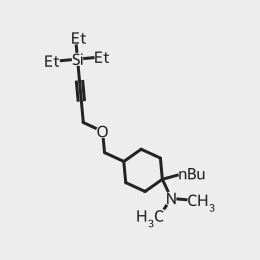 CCCCC1(N(C)C)CCC(COCC#C[Si](CC)(CC)CC)CC1